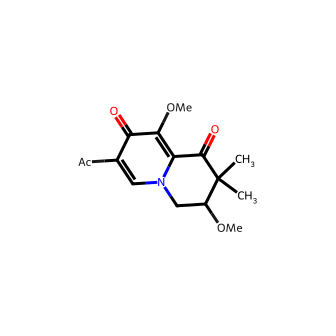 COc1c2n(cc(C(C)=O)c1=O)CC(OC)C(C)(C)C2=O